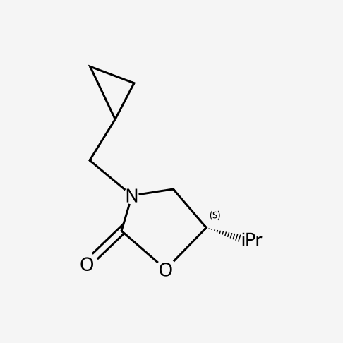 CC(C)[C@H]1CN(CC2CC2)C(=O)O1